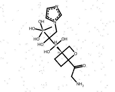 CP(O)(O)(O)C(O)(Cn1ccnc1)[PH](O)(O)[C@]12CCC1(C(=O)CN)OC2